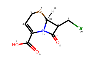 O=C(O)C1=CCS[C@H]2C(CBr)C(=O)N12